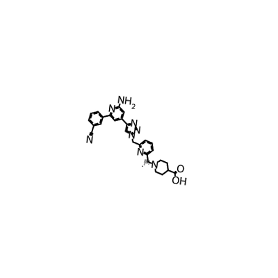 C[C@H](c1cccc(Cn2cc(-c3cc(N)nc(-c4cccc(C#N)c4)c3)nn2)n1)N1CCC(C(=O)O)CC1